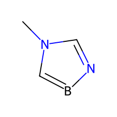 Cn1cbnc1